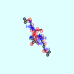 [C-]#[N+]CCOP(=O)(OC[C@H]1O[C@@H](n2ccc(NC(=O)CCCN(C)C(=O)OCC3c4ccccc4-c4ccccc43)nc2=O)CC1OC(=O)CCC(C)=O)OC1C[C@H](n2cnc3c(=O)[nH]c(NC(=O)CCNC(=O)c4ccc(CNC(=O)OCC5c6ccccc6-c6ccccc65)cc4)nc32)O[C@@H]1COC(c1ccccc1)(c1ccc(OC)cc1)c1ccc(OC)cc1